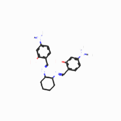 CCN(CC)c1ccc(C=NC2CCCCC2N=Cc2ccc(N(CC)CC)cc2O)c(O)c1